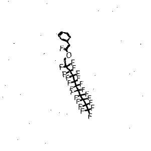 FC(=Cc1ccccc1)OCC(F)(F)C(F)(F)C(F)(F)C(F)(F)C(F)(F)C(F)(F)C(F)(F)C(F)(F)C(F)(F)C(F)(F)F